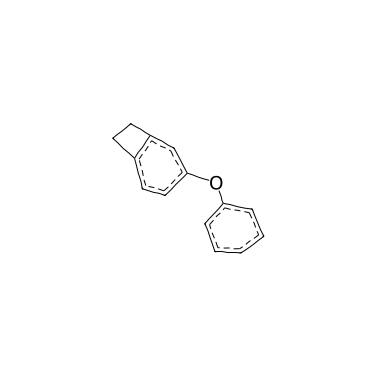 c1ccc(Oc2ccc3c(c2)CC3)cc1